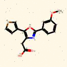 COc1cccc(-c2nc(CC(=O)O)c(-c3ccsc3)o2)c1